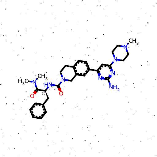 CN1CCN(c2cc(-c3ccc4c(c3)CN(C(=O)N[C@@H](Cc3ccccc3)C(=O)N(C)C)CC4)nc(N)n2)CC1